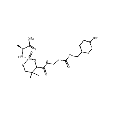 CCCN1CCC(COC(=O)CCNC(=O)[C@@H]2O[P@@](=O)(N[C@@H](C)C(=O)OC)OCC2(C)C)CC1